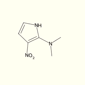 CN(C)c1[nH]ccc1[N+](=O)[O-]